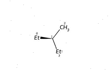 [CH]C[C@@H](C)[C]C